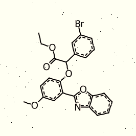 CCOC(=O)C(Oc1ccc(OC)cc1-c1nc2ccccc2o1)c1cccc(Br)c1